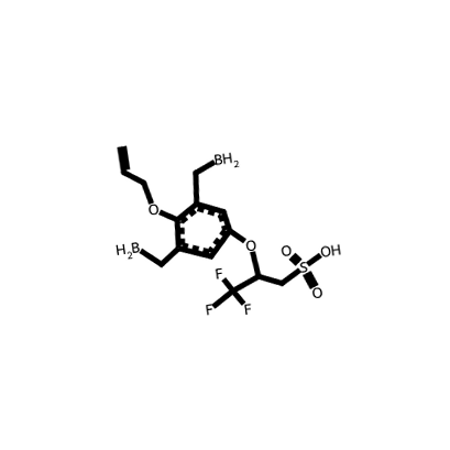 BCc1cc(OC(CS(=O)(=O)O)C(F)(F)F)cc(CB)c1OCC=C